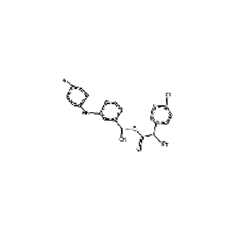 CC(C)C(C(=O)OC(C#N)c1cccc(Nc2ccc(Br)cc2)c1)c1ccc(Cl)cc1